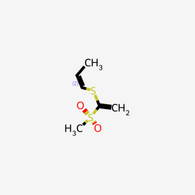 C=C(S/C=C\C)S(C)(=O)=O